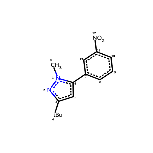 Cn1nc(C(C)(C)C)cc1-c1cccc([N+](=O)[O-])c1